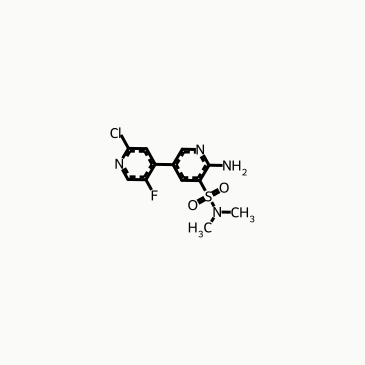 CN(C)S(=O)(=O)c1cc(-c2cc(Cl)ncc2F)cnc1N